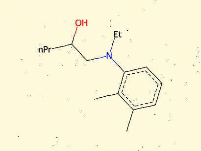 CCCC(O)CN(CC)c1cccc(C)c1C